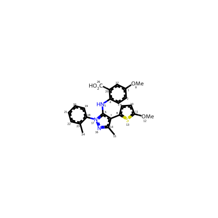 COc1ccc(Nc2c(-c3ccc(OC)s3)c(C)nn2-c2ccccc2C)c(C(=O)O)c1